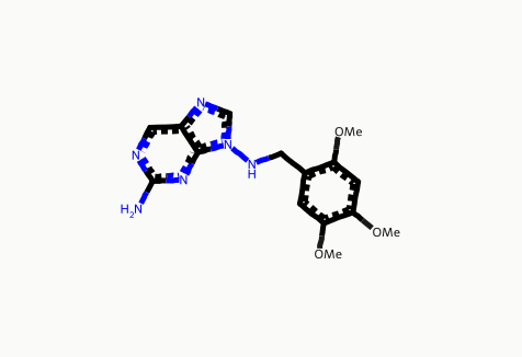 COc1cc(OC)c(OC)cc1CNn1cnc2cnc(N)nc21